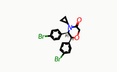 O=C1CO[C@@H](c2ccc(Br)cc2)[C@@H](c2ccc(Br)cc2)N1C1CC1